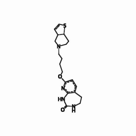 O=C1NCCc2ccc(OCCCCN3CCC4SC=CC4C3)nc2N1